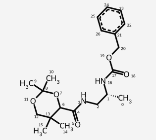 C[C@H](CNC(=O)C1OC(C)(C)OCC1(C)C)NC(=O)OCc1ccccc1